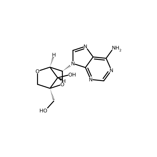 Nc1ncnc2c1ncn2[C@@H]1O[C@@]2(CO)CO[C@@H]1[C@@H]2O